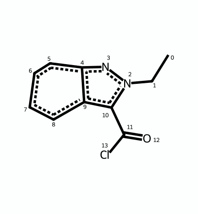 CCn1nc2ccccc2c1C(=O)Cl